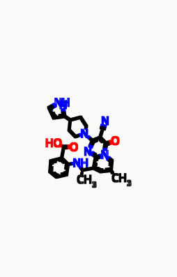 Cc1cc([C@@H](C)Nc2ccccc2C(=O)O)c2nc(N3CCC(c4cc[nH]n4)CC3)c(C#N)c(=O)n2c1